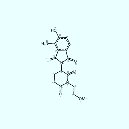 COCCN1C(=O)CCC(N2C(=O)c3ccc(O)c(N)c3C2=O)C1=O